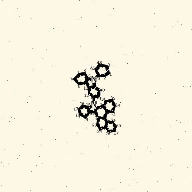 c1ccc(-n2c3ccccc3c3cc(-n4c5ccccc5c5c6ccc7ccccc7c6c6ccccc6c54)ccc32)cc1